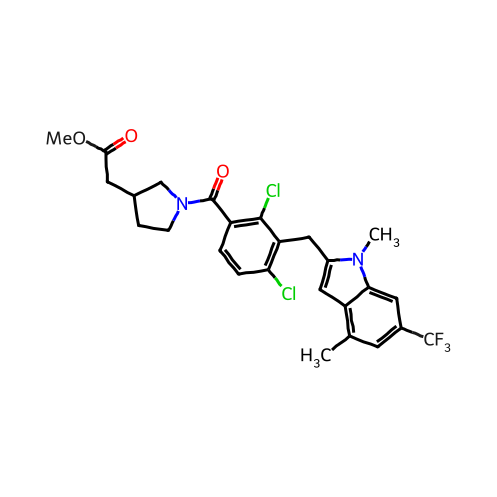 COC(=O)CC1CCN(C(=O)c2ccc(Cl)c(Cc3cc4c(C)cc(C(F)(F)F)cc4n3C)c2Cl)C1